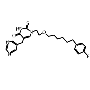 O=c1[nH]c(=S)n(CCOCCCCCCc2ccc(F)cc2)cc1Cc1cncnc1